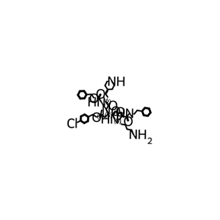 NCCCC[C@H](NC(=O)[C@@H]1C[C@@H](OCc2ccc(Cl)cc2)CN1C(=O)[C@@H](CC=C1CCNCC1)NC(=O)OCc1ccccc1)C(=O)C(=O)NCCc1ccccc1